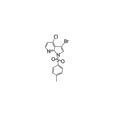 Cc1ccc(S(=O)(=O)n2cc(Br)c3c(Cl)ccnc32)cc1